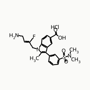 Cc1c(-c2cccc(S(=O)(=O)N(C)C)c2)c2cc(C(=O)O)ccc2n1CC(F)=CCN.Cl